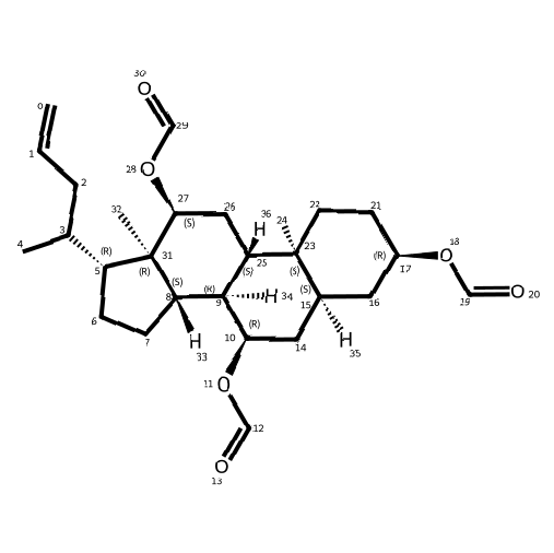 C=CCC(C)[C@H]1CC[C@H]2[C@@H]3[C@H](OC=O)C[C@@H]4C[C@H](OC=O)CC[C@]4(C)[C@H]3C[C@H](OC=O)[C@]12C